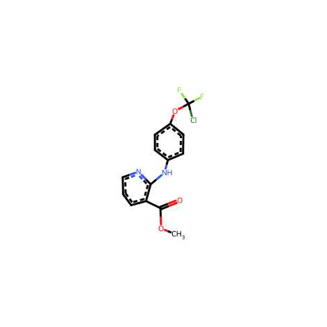 COC(=O)c1cccnc1Nc1ccc(OC(F)(F)Cl)cc1